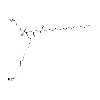 CCCCCCCCCCCCCCC(=O)OCC(COP(=O)(O)OCCCN)OC(=O)CCCCCCCCCCCCCC